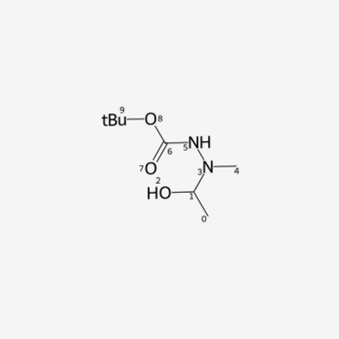 CC(O)N(C)NC(=O)OC(C)(C)C